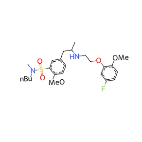 CCCCN(C)S(=O)(=O)c1cc(CC(C)NCCOc2cc(F)ccc2OC)ccc1OC